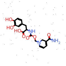 NC(=O)C1=CC=CN(COC(=O)NC(Cc2ccc(O)c(O)c2)C(=O)O)C1